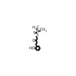 CCN(CC)C(=S)SCCC(=O)CCc1ccccc1O